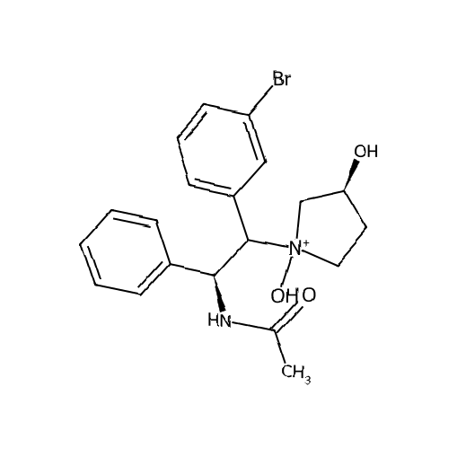 CC(=O)N[C@@H](c1ccccc1)C(c1cccc(Br)c1)[N+]1(O)CC[C@H](O)C1